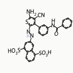 N#Cc1c(N)sc(/N=N/c2cc(S(=O)(=O)O)c3cccc(S(=O)(=O)O)c3c2)c1-c1cccc(NC(=O)c2ccccc2)c1